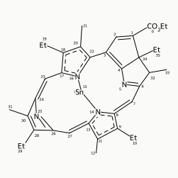 CCOC(=O)C1=CC2=C3N=C(C=c4c(CC)c(C)c5[n]4[Sn][n]4c(c(CC)c(C)c42)C=C2N=C(C=5)C(CC)=C2C)C(C)C13CC